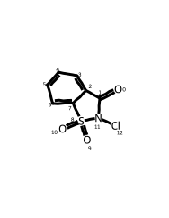 O=C1c2ccccc2S(=O)(=O)N1Cl